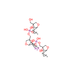 C[C@@H]1OC2(COP(=O)(O)O[C@@H]3C4OCC3(COP(=O)(O)O[C@@H]3C5OCC3(CO)O[C@H]5C)O[C@H]4C)COC1[C@H]2OP